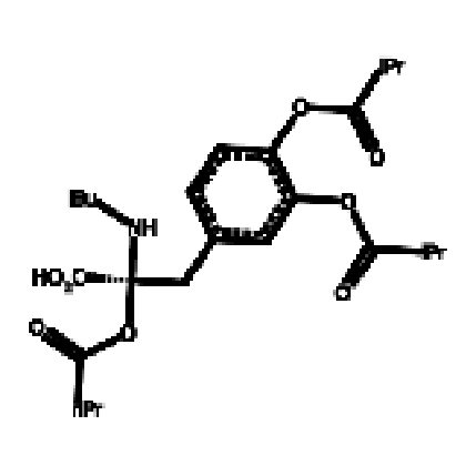 CCCC(=O)O[C@](Cc1ccc(OC(=O)C(C)C)c(OC(=O)C(C)C)c1)(NC(C)CC)C(=O)O